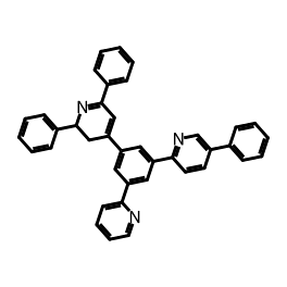 C1=C(c2cc(-c3ccccn3)cc(-c3ccc(-c4ccccc4)cn3)c2)CC(c2ccccc2)N=C1c1ccccc1